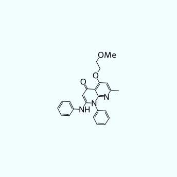 COCCOc1cc(C)nc2c1c(=O)cc(Nc1ccccc1)n2-c1ccccc1